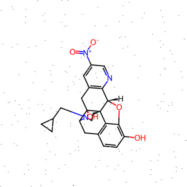 O=[N+]([O-])c1cnc2c(c1)C[C@@]1(O)C3Cc4ccc(O)c5c4[C@@]1(CCN3CC1CC1)[C@H]2O5